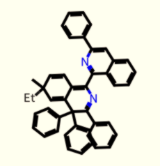 CCC1(C)C=CC2=C(c3nc(-c4ccccc4)cc4ccccc34)N=C(c3ccccc3)C(c3ccccc3)(c3ccccc3)C2=C1